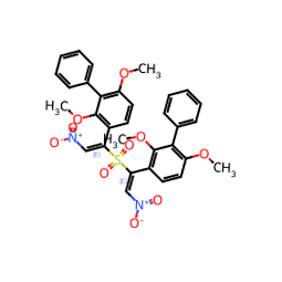 COc1ccc(/C(=C\[N+](=O)[O-])S(=O)(=O)/C(=C/[N+](=O)[O-])c2ccc(OC)c(-c3ccccc3)c2OC)c(OC)c1-c1ccccc1